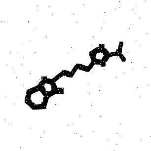 CN(C)c1ncc(C=CC=Cc2nc3ccccc3[nH]2)s1